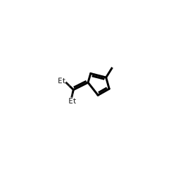 CCC(CC)=C1C=CC(C)=C1